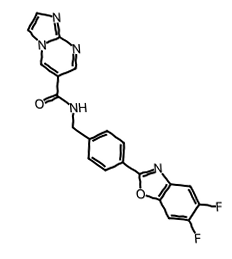 O=C(NCc1ccc(-c2nc3cc(F)c(F)cc3o2)cc1)c1cnc2nccn2c1